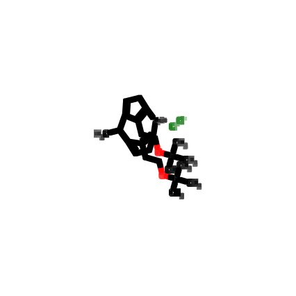 CC1C2=CC[C](=C2CCO[Si](C)(C)C)[Zr+2][C]2=C(CCO[Si](C)(C)C)C1=CC2.[Cl-].[Cl-]